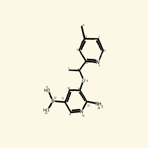 Cc1ccnc(C(C)Oc2cc(B(O)O)cnc2N)c1